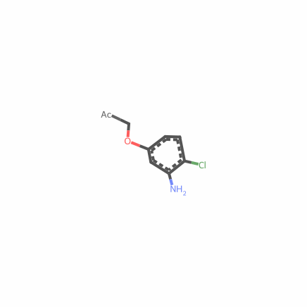 CC(=O)COc1ccc(Cl)c(N)c1